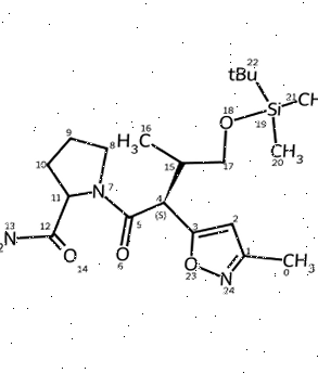 Cc1cc([C@@H](C(=O)N2CCCC2C(N)=O)C(C)CO[Si](C)(C)C(C)(C)C)on1